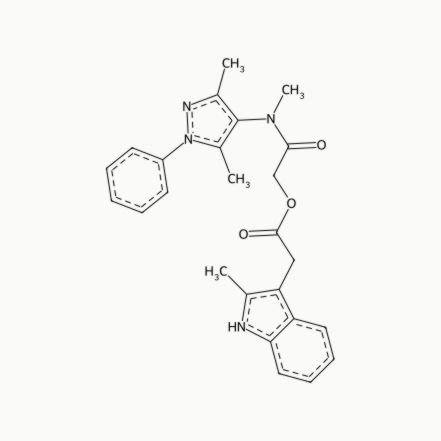 Cc1nn(-c2ccccc2)c(C)c1N(C)C(=O)COC(=O)Cc1c(C)[nH]c2ccccc12